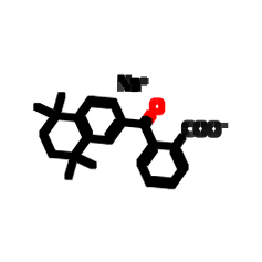 CC1(C)CCC(C)(C)c2cc(C(=O)c3ccccc3C(=O)[O-])ccc21.[Na+]